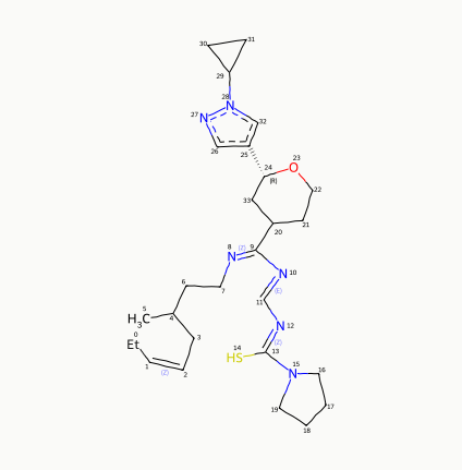 CC/C=C\CC(C)CC\N=C(/N=C/N=C(\S)N1CCCC1)C1CCO[C@@H](c2cnn(C3CC3)c2)C1